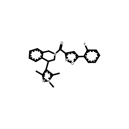 Cc1nn(C)c(C)c1C1CN(C(=O)c2cc(-c3ccccc3F)on2)Cc2ccccc21